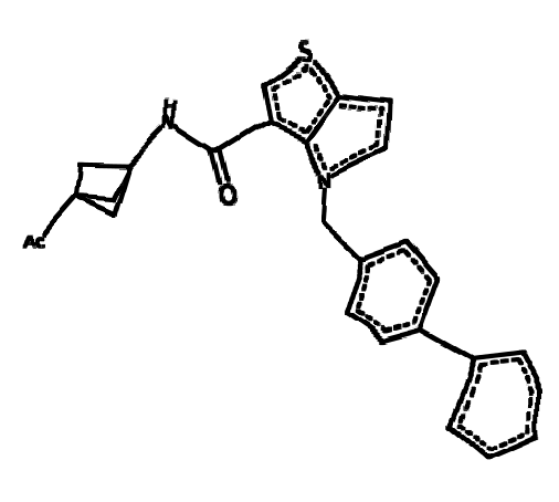 CC(=O)C12CC(NC(=O)c3csc4ccn(Cc5ccc(-c6ccccc6)cc5)c34)(C1)C2